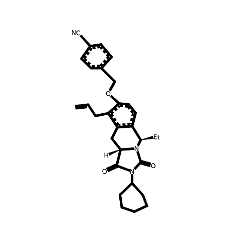 C=CCc1c(OCc2ccc(C#N)cc2)ccc2c1C[C@H]1C(=O)N(C3CCCCC3)C(=O)N1[C@@H]2CC